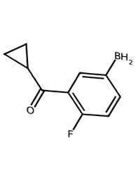 Bc1ccc(F)c(C(=O)C2CC2)c1